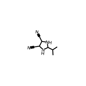 CC(C)C1NC(C#N)C(C#N)N1